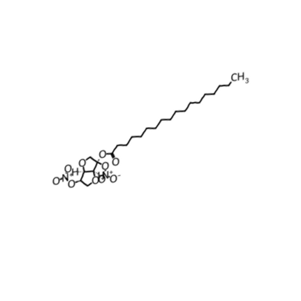 CCCCCCCCCCCCCCCCCC(=O)O[C@@]1(O[N+](=O)[O-])CO[C@@H]2[C@H](O[N+](=O)[O-])CO[C@@H]21